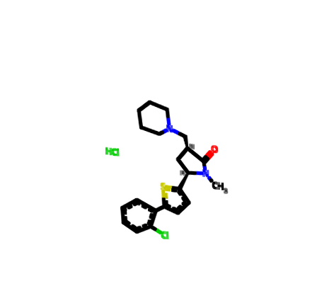 CN1C(=O)[C@H](CN2CCCCC2)C[C@@H]1c1ccc(-c2ccccc2Cl)s1.Cl